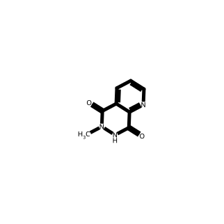 Cn1[nH]c(=O)c2ncccc2c1=O